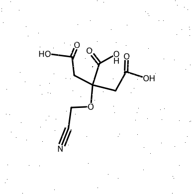 N#CCOC(CC(=O)O)(CC(=O)O)C(=O)O